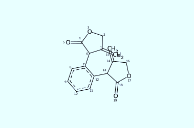 C=C1COC(=O)C1c1ccccc1C1C(=C)COC1=O